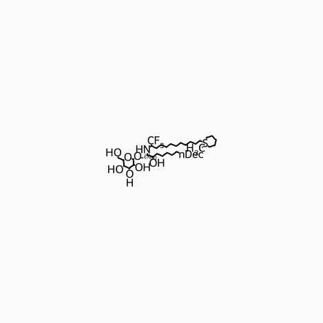 CCCCCCCCCCCCCCC[C@@H](O)[C@H](COC1OC(CO)C(O)C(O)C1O)NC(CCCCCCCCCCS1(C)CCCCC1)C(F)(F)F